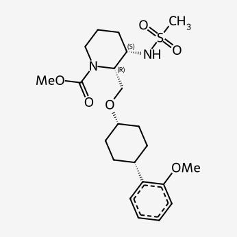 COC(=O)N1CCC[C@H](NS(C)(=O)=O)[C@@H]1CO[C@H]1CC[C@@H](c2ccccc2OC)CC1